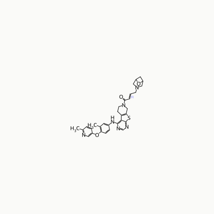 Cc1ccc(Oc2ccc(Nc3ncnc4sc5c(c34)CCN(C(=O)/C=C/CN3CC4CC(C3)O4)C5)cc2C)cn1